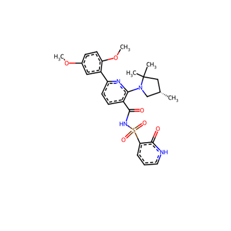 COc1ccc(OC)c(-c2ccc(C(=O)NS(=O)(=O)c3ccc[nH]c3=O)c(N3C[C@@H](C)CC3(C)C)n2)c1